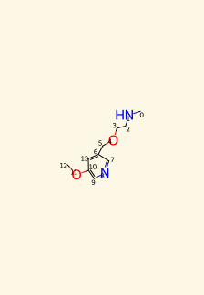 CNCCOCc1cncc(OC)c1